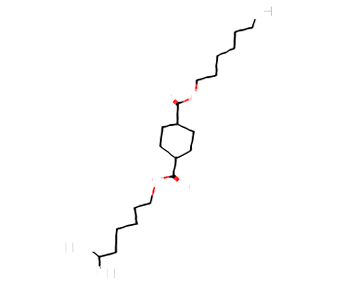 CCCCCCCOC(=O)C1CCC(C(=O)OCCCCCC(C)C)CC1